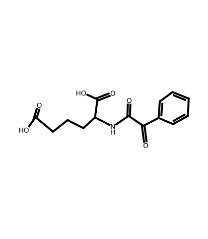 O=C(O)CCCC(NC(=O)C(=O)c1ccccc1)C(=O)O